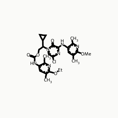 CCOc1nc(C)c(NC(=O)OCC(C2CC2)n2cc(Cl)nc(Nc3cc(C)c(OC)nc3C)c2=O)cc1C